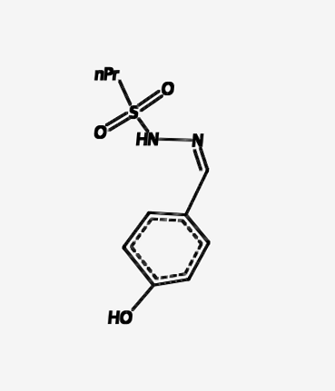 CCCS(=O)(=O)N/N=C\c1ccc(O)cc1